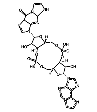 O=C1C2N=CN([C@@H]3O[C@@H]4COP(=O)(O)O[C@H]5[C@@H](O)[C@H](n6cnc7c6ncn6ccnc76)O[C@@H]5COP(=O)(S)O[C@H]4[C@H]3O)C2=NC2NC=CN12